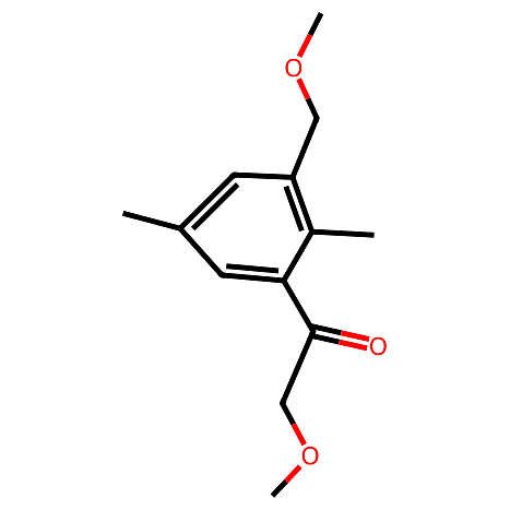 COCC(=O)c1cc(C)cc(COC)c1C